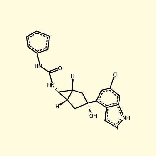 O=C(Nc1ccccc1)N[C@@H]1[C@@H]2C[C@@](O)(c3cc(Cl)cc4[nH]ncc34)C[C@@H]21